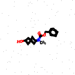 CN(C(=O)OCc1ccccc1)C1CC2(CC(O)C2)C1